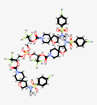 CN([C@H]1COC2(CCN(C(=O)O[C@H](COP(=O)(OC[C@@H](OC(=O)N3CCC4(CC3)C[C@@H](N(C)S(=O)(=O)c3ccc(F)cc3)CO4)C(F)(F)F)OC[C@@H](OC(=O)N3CCC4(CC3)C[C@@H](N(C)S(=O)(=O)c3ccc(F)cc3)CO4)C(F)(F)F)C(F)(F)F)CC2)C1)S(=O)(=O)c1ccc(F)cc1